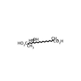 CC(CCCCCCCCCCCC(CCC(C)C(=O)O)NO)C(=O)O